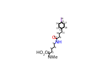 CNC(CCCCNC(=O)CCCc1ccc(I)cc1)C(=O)O